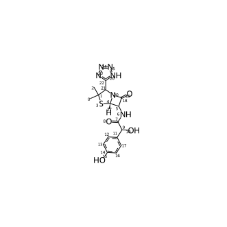 CC1(C)S[C@H]2C(NC(=O)C(O)c3ccc(O)cc3)C(=O)N2C1c1nnn[nH]1